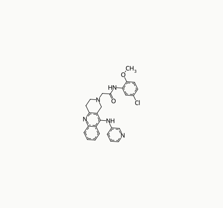 COc1ccc(Cl)cc1NC(=O)CN1CCc2nc3ccccc3c(Nc3cccnc3)c2C1